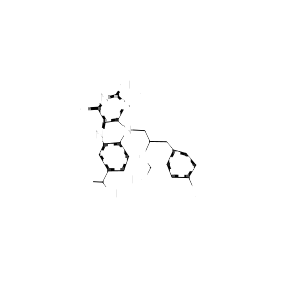 C=c1nc2c(c(=O)[nH]1)=Nc1cc(C(C)C)ccc1N2CC(Cc1ccc(C)cc1)OCC